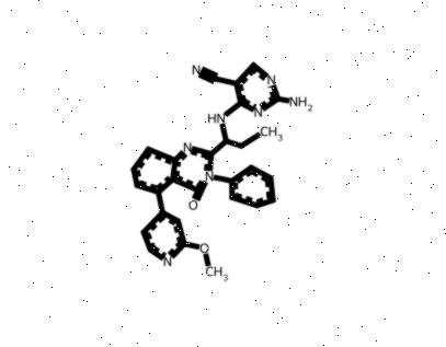 CCC(Nc1nc(N)ncc1C#N)c1nc2cccc(-c3ccnc(OC)c3)c2c(=O)n1-c1ccccc1